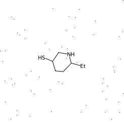 [CH]CC1CCC(S)CN1